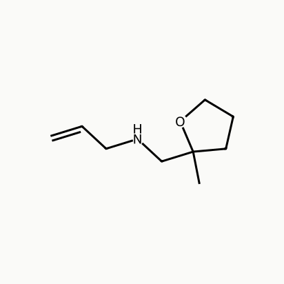 C=CCNCC1(C)CCCO1